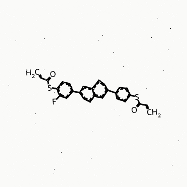 C=CC(=O)Sc1ccc(-c2ccc3cc(-c4ccc(SC(=O)C=C)c(F)c4)ccc3c2)cc1